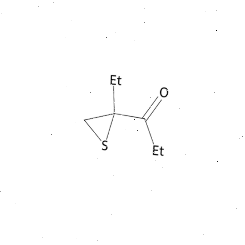 CCC(=O)C1(CC)CS1